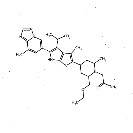 CCOCC1CC(c2sc3[nH]c(-c4cc(C)c5ncnn5c4)c(C(C)C)c3c2C)CC(C)N1CC(N)=O